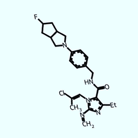 C=Nc1nc(CC)c(C(=O)NCc2ccc(N3CC4CC(F)CC4C3)cc2)n1/C=C(\C)Cl